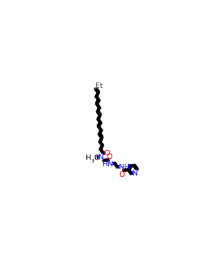 CCC=CCC=CCC=CCC=CCC=CCCCC(=O)N(C)CC(=O)NCCNC(=O)c1cccnc1